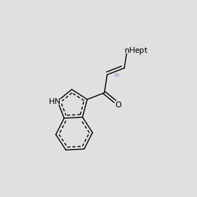 CCCCCCC/C=C/C(=O)c1c[nH]c2ccccc12